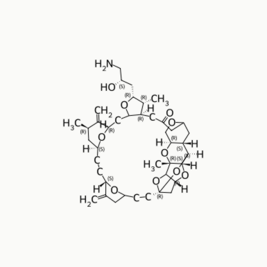 C=C1CC2CC[C@@]34C[C@H]5O[C@H]6[C@@H](O3)[C@H]3CC(CC(=O)C[C@H]7C(C[C@H]8O[C@@H](CC[C@@H]1O2)C[C@@H](C)C8=C)O[C@H](C[C@H](O)CN)[C@@H]7C)OC[C@@H]3O[C@@]6(C)C5O4